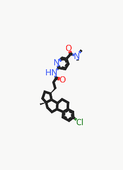 CN(C)C(=O)c1ccc(NC(=O)CC[C@@H]2CC[C@@]3(C)CCC4c5ccc(Cl)cc5CCC4C23)nc1